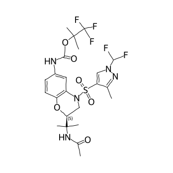 CC(=O)NC(C)(C)[C@@H]1CN(S(=O)(=O)c2cn(C(F)F)nc2C)c2cc(NC(=O)OC(C)(C)C(F)(F)F)ccc2O1